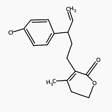 C=CC(CCC1=C(C)CCOC1=O)c1ccc(Cl)cc1